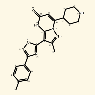 Cc1ccc(-c2noc(-c3c(C)nn4c(C5CCNCC5)cc(=O)[nH]c34)n2)cc1